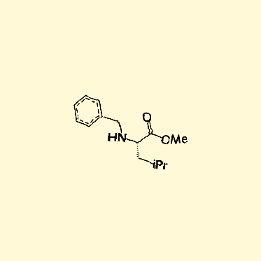 COC(=O)[C@H](CC(C)C)NCc1ccccc1